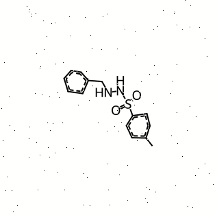 Cc1ccc(S(=O)(=O)NNCc2ccccc2)cc1